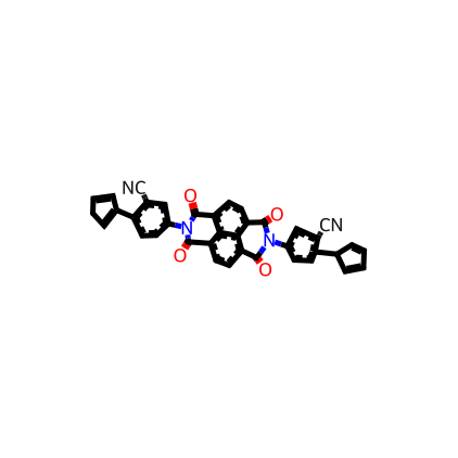 N#Cc1cc(N2C(=O)c3ccc4c5c(ccc(c35)C2=O)C(=O)N(c2ccc(C3C=CC=C3)c(C#N)c2)C4=O)ccc1C1=CCC=C1